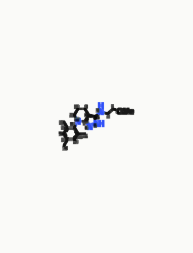 COCCNc1[nH]nc2c1CCCN2c1c(C)cc(C)cc1C